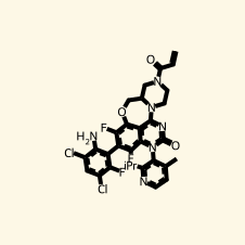 C=CC(=O)N1CCN2c3nc(=O)n(-c4c(C)ccnc4C(C)C)c4c(F)c(-c5c(N)c(Cl)cc(Cl)c5F)c(F)c(c34)OCC2C1